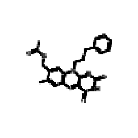 CC(=O)OCc1cc2c(cc1C)nc1c(=O)[nH]c(=O)nc-1n2CCCc1ccccc1